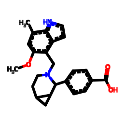 COc1cc(C)c2[nH]ccc2c1CN1CCC2CC2C1c1ccc(C(=O)O)cc1